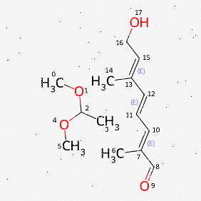 COC(C)OC.C\C(C=O)=C/C=C/C(C)=C/CO